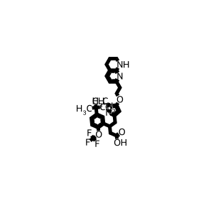 Cn1nc(CC(CC(=O)O)c2cc(C(C)(C)C)ccc2OC(F)(F)F)cc1OCCc1ccc2c(n1)NCCC2